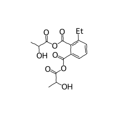 CCc1cccc(C(=O)OC(=O)C(C)O)c1C(=O)OC(=O)C(C)O